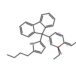 C\C=C(/C=C\C(=C/CC)C1(c2ccc(CCCC)[nH]2)c2ccccc2-c2ccccc21)CCC